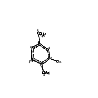 CC(=O)Oc1ncc(C(=O)O)cc1Cl